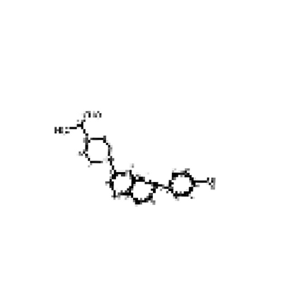 CC(C=O)N1CCN(c2cnc3ccc(-c4ccc(O)cc4)cc3n2)CC1